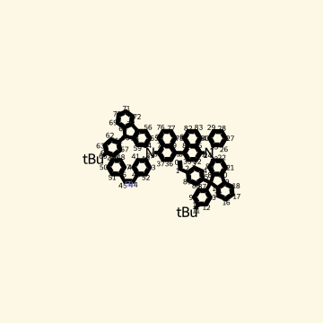 C=Cc1ccc(C2(c3ccc(C(C)(C)C)cc3)c3ccccc3-c3ccc(N(c4ccccc4)c4ccc(-c5ccc(N(c6ccc(/C=C\c7ccccc7)cc6)c6ccc7c(c6)C(c6ccc(C(C)(C)C)cc6)c6ccccc6-7)c6ccccc56)c5ccccc45)cc32)cc1